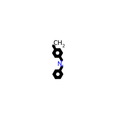 C=Cc1ccc(C/N=C/c2ccccc2)cc1